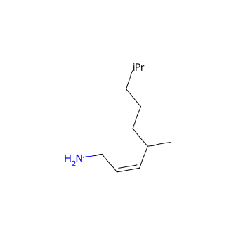 CC(C)CCCC(C)/C=C\CN